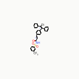 CC/C(=C(\c1ccccc1)c1ccc(/C=C/C(=O)NS(=O)(=O)c2cccc(C(F)(F)F)c2)cc1)c1ccccc1